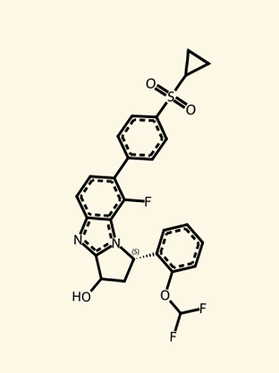 O=S(=O)(c1ccc(-c2ccc3nc4n(c3c2F)[C@H](c2ccccc2OC(F)F)CC4O)cc1)C1CC1